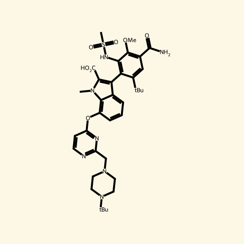 COc1c(C(N)=O)cc(C(C)(C)C)c(-c2c(C(=O)O)n(C)c3c(Oc4ccnc(CN5CCN(C(C)(C)C)CC5)n4)cccc23)c1NS(C)(=O)=O